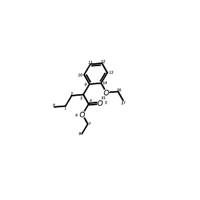 CCCC(C(=O)OCC)c1ccccc1OCC